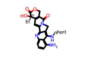 CCCCCNc1c2c(nc3cccc(N)c13)-c1cc3c(c(=O)n1C2)COC(=O)[C@]3(O)CC